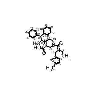 CCN(Cc1ccc(C)s1)C(=O)N1CCN(C(O)C(c2ccccc2)c2ccccc2)[C@H](C(=O)O)C1